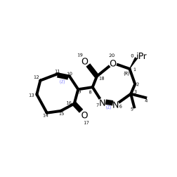 CC(C)[C@H]1CC(C)(C)/N=N\C(C2/C=C\CCCCC2=O)C(=O)O1